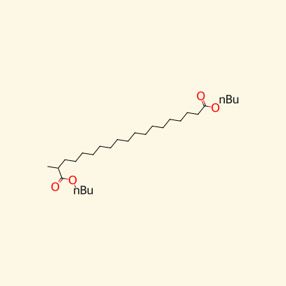 CCCCOC(=O)CCCCCCCCCCCCCCCCC(C)C(=O)OCCCC